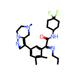 CCC/N=C(/C(=O)NC1CCC(F)(F)CC1)c1cc(-c2cnn3c2CN(C)CC3)cc(C)c1C